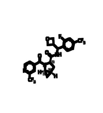 O=C(NC(c1ccc(C(F)(F)F)cc1F)C1COC1)[C@H]1C[C@H]2C[C@H]2N1C(=O)c1ccnc(C(F)(F)F)c1